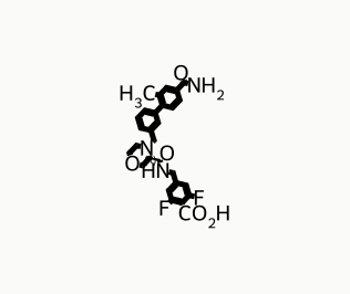 Cc1cc(C(N)=O)ccc1-c1cccc(CN2CCOC[C@@H]2C(=O)NCc2cc(F)c(C(=O)O)c(F)c2)c1